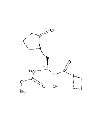 CC(C)(C)OC(=O)N[C@@H](CN1CCCC1=O)C(O)C(=O)N1CCC1